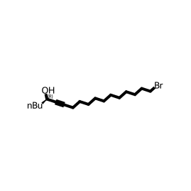 CCCC[C@@H](O)C#CCCCCCCCCCCCBr